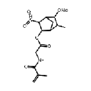 C=C(C)C(=O)NCC(=O)OC1C2CC(C(OC)C2C)C1[SH](=O)=O